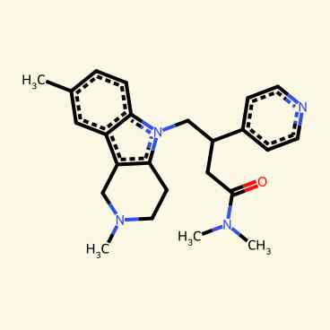 Cc1ccc2c(c1)c1c(n2CC(CC(=O)N(C)C)c2ccncc2)CCN(C)C1